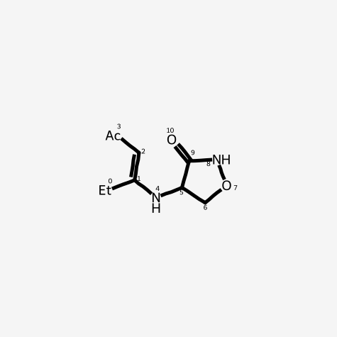 CCC(=CC(C)=O)NC1CONC1=O